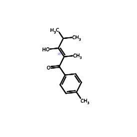 C/C(C(=O)c1ccc(C)cc1)=C(/O)C(C)C